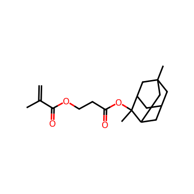 C=C(C)C(=O)OCCC(=O)OC1(C)C2CC3CC1CC(C)(C3)C2